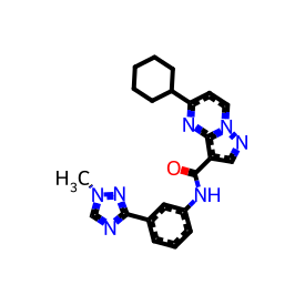 Cn1cnc(-c2cccc(NC(=O)c3cnn4ccc(C5CCCCC5)nc34)c2)n1